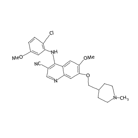 COc1ccc(Cl)c(Nc2c(C#N)cnc3cc(OCC4CCN(C)CC4)c(OC)cc23)c1